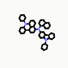 c1ccc(N2c3ccccc3-c3ccc(N(c4ccc5c(c4)c4ccccc4n5-c4ccccc4)c4cccc5ccccc45)c4cccc2c34)cc1